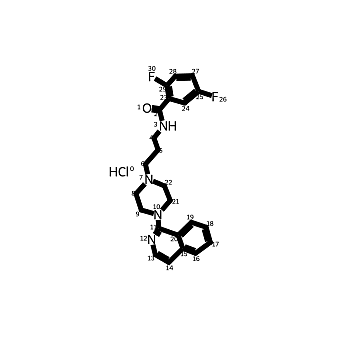 Cl.O=C(NCCCN1CCN(c2nccc3ccccc23)CC1)c1cc(F)ccc1F